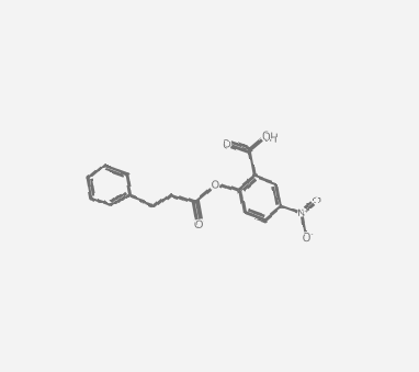 O=C(CCc1ccccc1)Oc1ccc([N+](=O)[O-])cc1C(=O)O